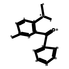 Cc1ccc(N(C)C)c(C(=O)c2ccccc2)c1